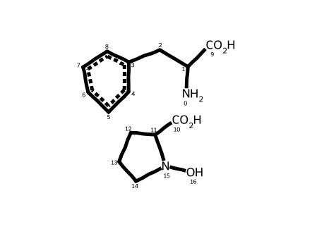 NC(Cc1ccccc1)C(=O)O.O=C(O)C1CCCN1O